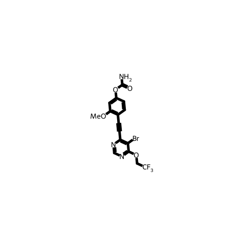 COc1cc(OC(N)=O)ccc1C#Cc1ncnc(OCC(F)(F)F)c1Br